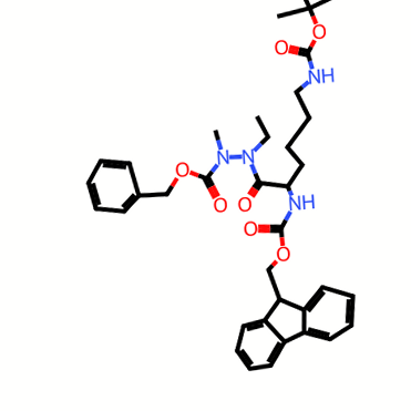 CCN(C(=O)C(CCCCNC(=O)OC(C)(C)C)NC(=O)OCC1c2ccccc2-c2ccccc21)N(C)C(=O)OCc1ccccc1